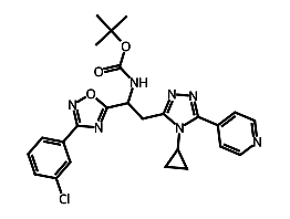 CC(C)(C)OC(=O)NC(Cc1nnc(-c2ccncc2)n1C1CC1)c1nc(-c2cccc(Cl)c2)no1